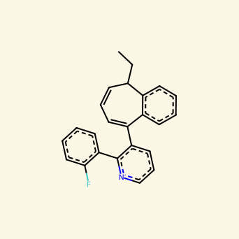 CCC1C=CC=C(c2cccnc2-c2ccccc2F)c2ccccc21